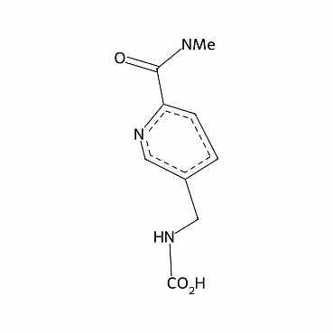 CNC(=O)c1ccc(CNC(=O)O)cn1